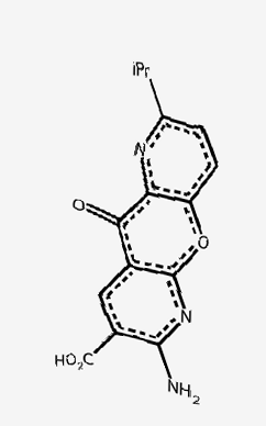 CC(C)c1ccc2oc3nc(N)c(C(=O)O)cc3c(=O)c2n1